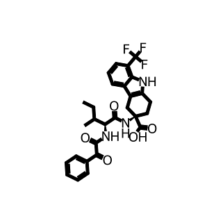 CCC(C)[C@H](NC(=O)C(=O)c1ccccc1)C(=O)N[C@]1(C(=O)O)CCc2[nH]c3c(C(F)(F)F)cccc3c2C1